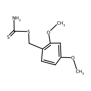 COc1ccc(CSC(N)=S)c(OC)c1